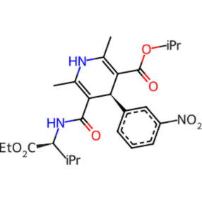 CCOC(=O)[C@@H](NC(=O)C1=C(C)NC(C)=C(C(=O)OC(C)C)[C@H]1c1cccc([N+](=O)[O-])c1)C(C)C